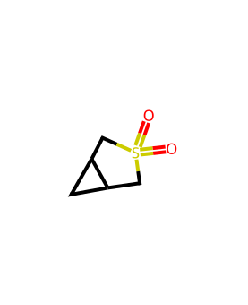 O=S1(=O)CC2CC2C1